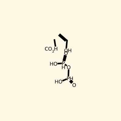 C=CO.CC(=O)O.O=[PH](O)O[PH](=O)O